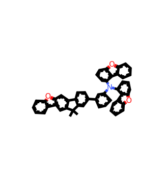 CC1(C)c2cc(-c3cccc(N(c4cccc5oc6ccccc6c45)c4cccc5oc6ccccc6c45)c3)ccc2-c2cc3oc4ccccc4c3cc21